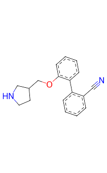 N#Cc1ccccc1-c1ccccc1OCC1CCNC1